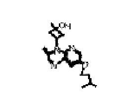 C=C1C=Nc2cc(OCCC(C)C)cnc2N1C1CC(C)(O)C1